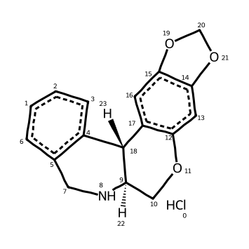 Cl.c1ccc2c(c1)CN[C@@H]1COc3cc4c(cc3[C@@H]21)OCO4